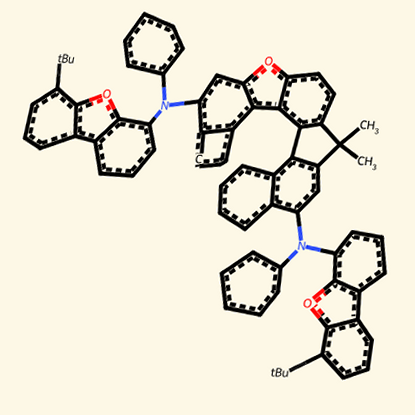 CC(C)(C)c1cccc2c1oc1c(N(c3ccccc3)c3cc4c(c5ccccc35)-c3c(ccc5oc6cc(N(c7ccccc7)c7cccc8c7oc7c(C(C)(C)C)cccc78)c7ccccc7c6c35)C4(C)C)cccc12